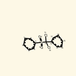 O=S(=O)(c1ccccc1)C(Cl)(Cl)c1ccccc1